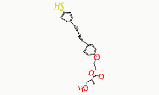 C=C(CO)C(=O)OCCOc1ccc(C#CC#Cc2ccc(S)cc2)cc1